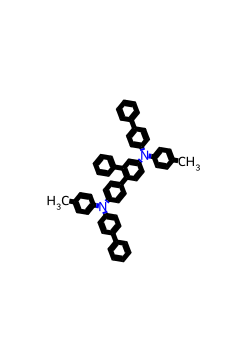 Cc1ccc(N(c2ccc(-c3ccccc3)cc2)c2ccc(-c3ccc(N(c4ccc(C)cc4)c4ccc(-c5ccccc5)cc4)cc3-c3ccccc3)cc2)cc1